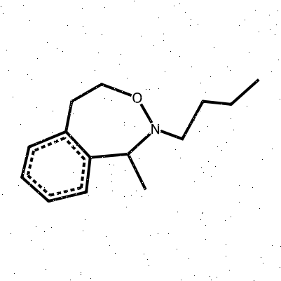 CCCCN1OCCc2ccccc2C1C